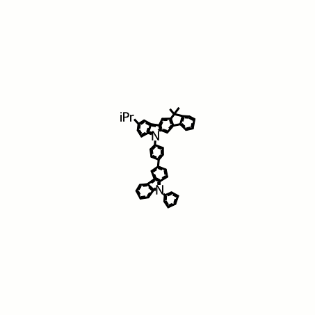 CC(C)c1ccc2c(c1)c1cc3c(cc1n2-c1ccc(-c2ccc4c(c2)c2ccccc2n4-c2ccccc2)cc1)-c1ccccc1C3(C)C